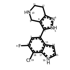 Fc1cc(-c2[nH]nc3c2CNCC3)c2cc[nH]c2c1Cl